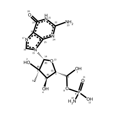 C[C@@]1(O)[C@H](O)[C@@H](C(O)OP(N)(=O)O)O[C@H]1n1cnc2c(=O)[nH]c(N)nc21